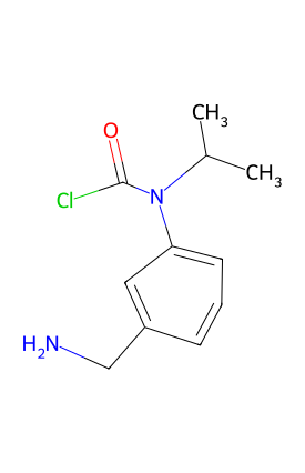 CC(C)N(C(=O)Cl)c1cccc(CN)c1